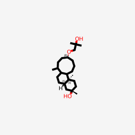 CC1CC[C@H](OCC(C)(C)O)CCCC2C1CC[C@H]1C[C@@](C)(O)CC[C@]21C